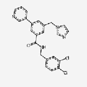 O=C(NCc1ccc(Cl)c(Cl)c1)c1cc(Cn2ccnc2)cc(-c2cccnc2)c1